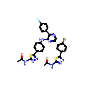 CC(=O)Nc1nnc(-c2ccc(Br)cc2)s1.CC(=O)Nc1nnc(-c2ccc(Nc3nccnc3-c3ccc(F)cc3)cc2)s1